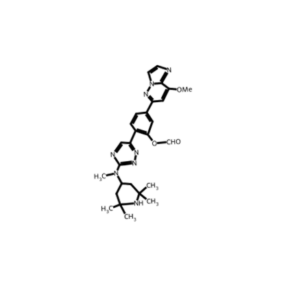 COc1cc(-c2ccc(-c3cnc(N(C)C4CC(C)(C)NC(C)(C)C4)nn3)c(OC=O)c2)nn2ccnc12